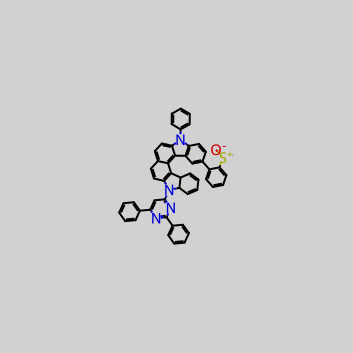 C[S+]([O-])c1ccccc1-c1ccc2c(c1)c1c3c4c(ccc3ccc1n2-c1ccccc1)N(c1cc(-c2ccccc2)nc(-c2ccccc2)n1)C1C=CC=CC41